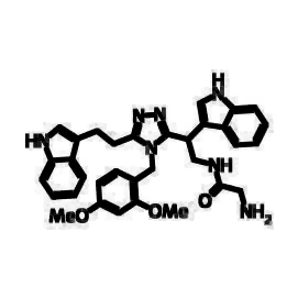 COc1ccc(Cn2c(CCc3c[nH]c4ccccc34)nnc2C(CNC(=O)CN)c2c[nH]c3ccccc23)c(OC)c1